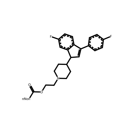 CCCCCCCCCC(=O)OCCN1CCC(C2C=C(c3ccc(F)cc3)c3ccc(F)cc32)CC1